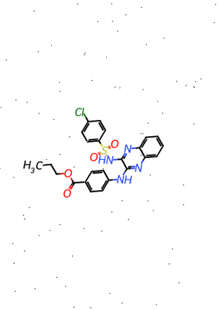 CCCOC(=O)c1ccc(Nc2nc3ccccc3nc2NS(=O)(=O)c2ccc(Cl)cc2)cc1